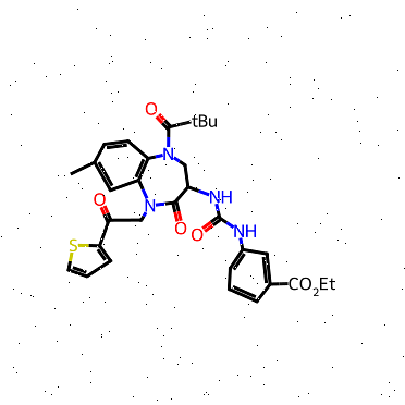 CCOC(=O)c1cccc(NC(=O)NC2CN(C(=O)C(C)(C)C)c3ccc(C)cc3N(CC(=O)c3cccs3)C2=O)c1